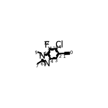 C#Cc1cc2nc(C)n(C)c2c(F)c1Cl